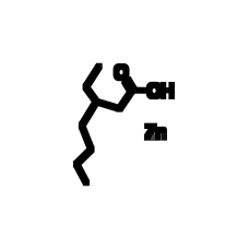 CCCCC(CC)CC(=O)O.[Zn]